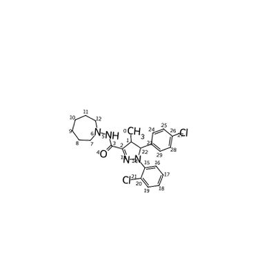 CC1C(C(=O)NN2CCCCCC2)=NN(c2ccccc2Cl)C1c1ccc(Cl)cc1